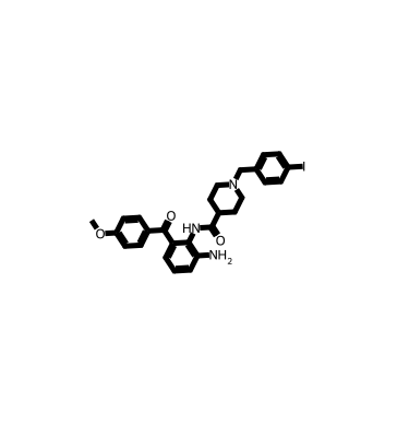 COc1ccc(C(=O)c2cccc(N)c2NC(=O)C2CCN(Cc3ccc(I)cc3)CC2)cc1